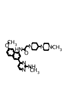 CNc1nccc(-c2cc(NC(=O)CN3CCC(N4CCN(C)CC4)CC3)c3cc(OC)ccc3c2)n1